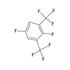 Fc1cc(C(F)(F)F)c(F)c(C(F)(F)F)c1